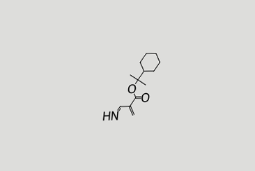 C=C(C=N)C(=O)OC(C)(C)C1CCCCC1